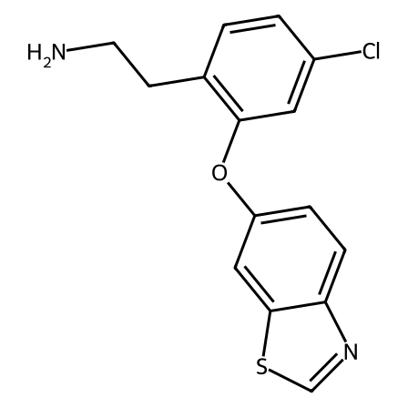 NCCc1ccc(Cl)cc1Oc1ccc2ncsc2c1